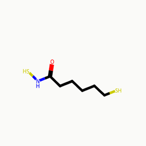 O=C(CCCCCS)NS